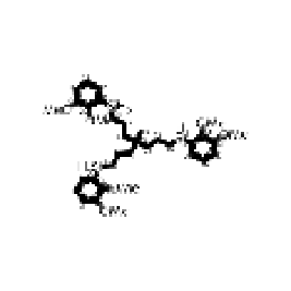 COc1cccc([SiH2]CCCC(C)(CCC[SiH2]c2cccc(OC)c2OC)CCC[SiH2]c2cccc(OC)c2OC)c1OC